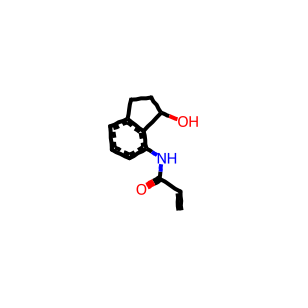 C=CC(=O)Nc1cccc2c1C(O)CC2